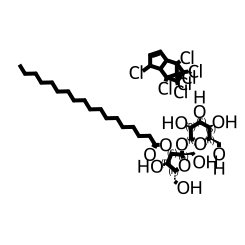 CCCCCCCCCCCCCCCCCC(=O)O[C@H]1[C@H](O)[C@@H](CO)O[C@@]1(CO)O[C@H]1O[C@H](CO)[C@@H](O)[C@H](O)[C@H]1O.ClC1=C(Cl)C2(Cl)C3C(Cl)C=CC3C1(Cl)C2(Cl)Cl